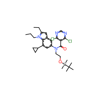 CCCn1c(CC)cc2cc(N(CCO[Si](C)(C)C(C)(C)C)C(=O)c3c(Cl)ncnc3Cl)cc(C3CC3)c21